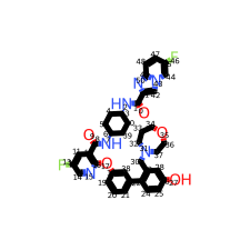 O=C(N[C@H]1CC[C@H](NC(=O)c2cc(F)cnc2Oc2cccc(-c3ccc(O)cc3CN3CCCOCC3)c2)CC1)c1cn2cc(F)ccc2n1